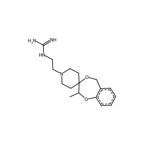 CC1Oc2ccccc2COC12CCN(CCNC(=N)N)CC2